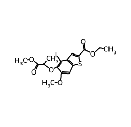 CCOC(=O)c1cc2c(I)c(OC(C)C(=O)OC)c(OC)cc2s1